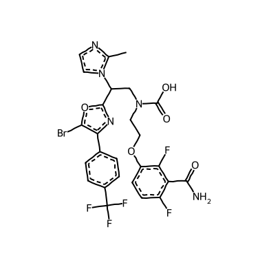 Cc1nccn1C(CN(CCOc1ccc(F)c(C(N)=O)c1F)C(=O)O)c1nc(-c2ccc(C(F)(F)F)cc2)c(Br)o1